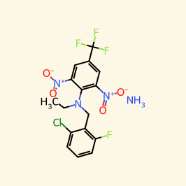 CCN(Cc1c(F)cccc1Cl)c1c([N+](=O)[O-])cc(C(F)(F)F)cc1[N+](=O)[O-].N